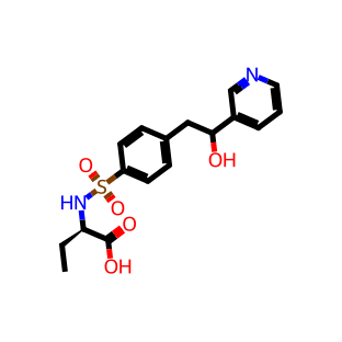 CC[C@@H](NS(=O)(=O)c1ccc(CC(O)c2cccnc2)cc1)C(=O)O